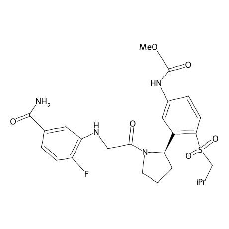 COC(=O)Nc1ccc(S(=O)(=O)CC(C)C)c([C@H]2CCCN2C(=O)CNc2cc(C(N)=O)ccc2F)c1